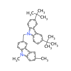 Cc1ccc2c(c1)c1cc(Cn3c4ccc(C(C)(C)C)cc4c4cc(C(C)(C)C)ccc43)ccc1n2C